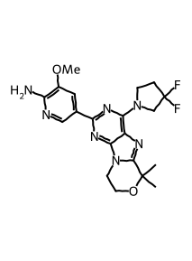 COc1cc(-c2nc(N3CCC(F)(F)C3)c3nc4n(c3n2)CCOC4(C)C)cnc1N